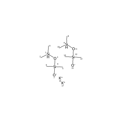 C[SiH](C)O[Si](C)(C)[O-].C[SiH](C)O[Si](C)(C)[O-].[K+].[K+]